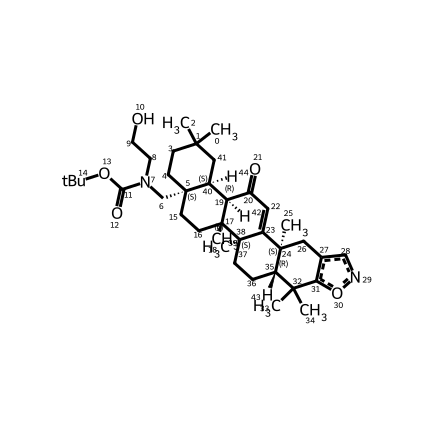 CC1(C)CC[C@]2(CN(CCO)C(=O)OC(C)(C)C)CC[C@]3(C)[C@H](C(=O)C=C4[C@@]5(C)Cc6cnoc6C(C)(C)[C@@H]5CC[C@]43C)[C@@H]2C1